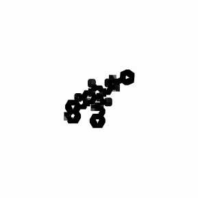 O=C1CN2C(=O)CN(Cc3nc(-c4ccccc4)no3)N(C(=O)NCc3ccccc3)C2CN1Cc1cccc2ncccc12